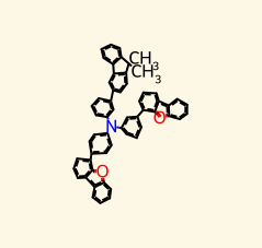 CC1(C)c2ccccc2-c2cc(-c3cccc(N(c4ccc(-c5cccc6c5oc5ccccc56)cc4)c4cccc(-c5cccc6c5oc5ccccc56)c4)c3)ccc21